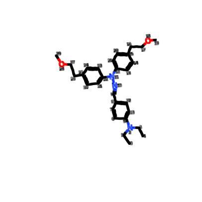 CCN(CC)c1ccc(C=NN(c2ccc(CCOC)cc2)c2ccc(CCOC)cc2)cc1